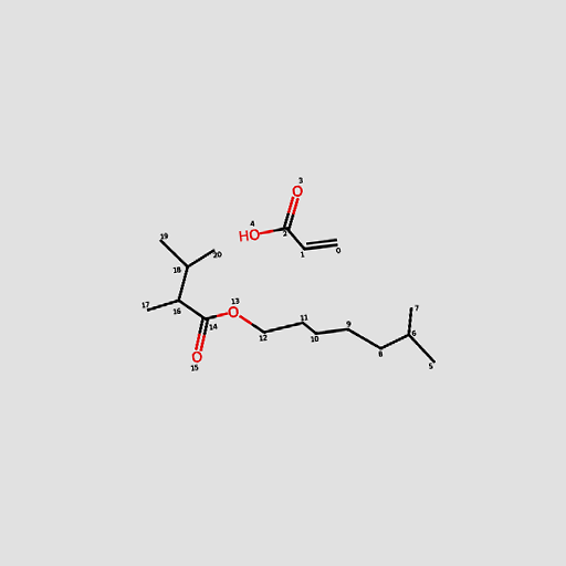 C=CC(=O)O.CC(C)CCCCCOC(=O)C(C)C(C)C